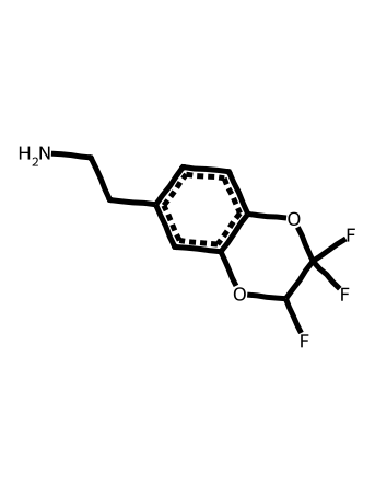 NCCc1ccc2c(c1)OC(F)C(F)(F)O2